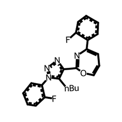 CCCCc1c(C2=NC(c3ccccc3F)=CC=CO2)nnn1-c1ccccc1F